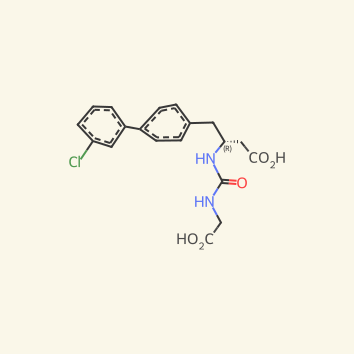 O=C(O)CNC(=O)N[C@@H](CC(=O)O)Cc1ccc(-c2cccc(Cl)c2)cc1